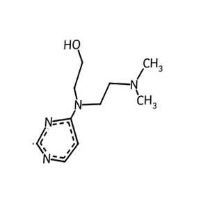 CN(C)CCN(CCO)c1ccn[c]n1